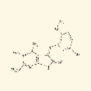 COc1ccc(Br)cc1C=C1C(=O)Nc2nc(C)c(O)c(C)c21